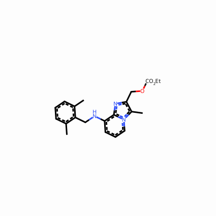 CCOC(=O)OCc1nc2c(NCc3c(C)cccc3C)cccn2c1C